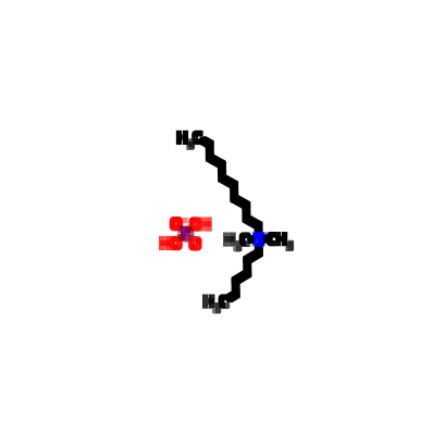 CCCCCCCCCC[N+](C)(C)CCCCCC.O=P([O-])(O)O